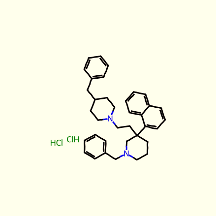 Cl.Cl.c1ccc(CC2CCN(CCC3(c4cccc5ccccc45)CCCN(Cc4ccccc4)C3)CC2)cc1